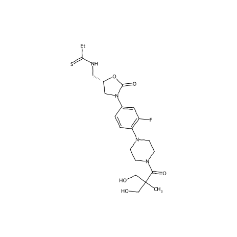 CCC(=S)NC[C@H]1CN(c2ccc(N3CCN(C(=O)C(C)(CO)CO)CC3)c(F)c2)C(=O)O1